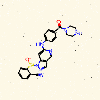 N#Cc1ccccc1[S+]([O-])n1ncc2cnc(Nc3ccc(C(=O)N4CCNCC4)cc3)cc21